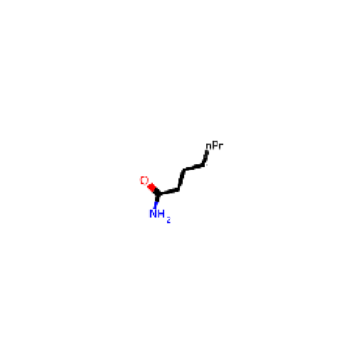 CCC[CH]CCC(N)=O